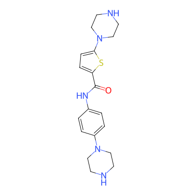 O=C(Nc1ccc(N2CCNCC2)cc1)c1ccc(N2CCNCC2)s1